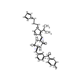 CC(C)c1c(/C=c2\[nH]c(=O)/c(=C/c3cccc(C(=O)c4ccc(F)cc4)c3)[nH]c2=O)ncn1CCCn1cccc1